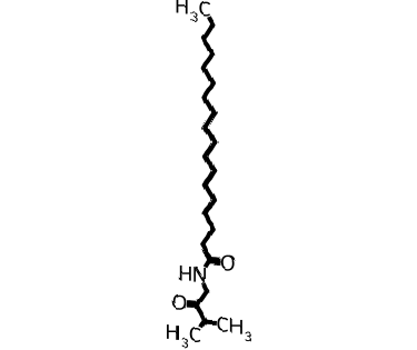 CCCCCCCCCCCCCCCCCC(=O)NCC(=O)C(C)C